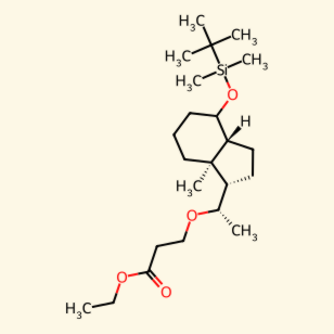 CCOC(=O)CCO[C@@H](C)[C@H]1CC[C@H]2C(O[Si](C)(C)C(C)(C)C)CCC[C@]12C